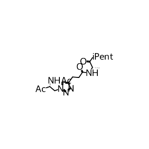 CCCC(C)C(=O)[C@H](C)NC(=O)CCc1cn(C[C@@H](NC(C)=O)C(C)=O)nn1